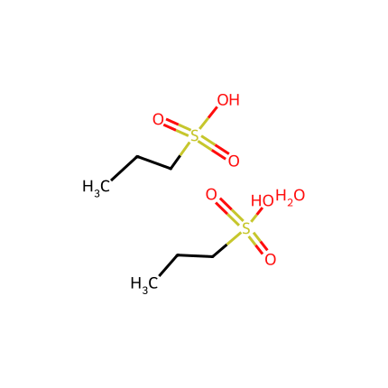 CCCS(=O)(=O)O.CCCS(=O)(=O)O.O